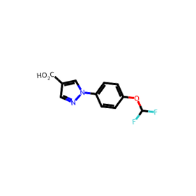 O=C(O)c1cnn(-c2ccc(OC(F)F)cc2)c1